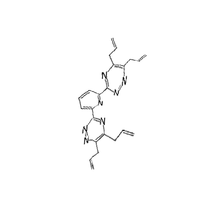 C=CCc1nnc(-c2cccc(-c3nnc(CC=C)c(CC=C)n3)n2)nc1CC=C